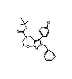 CC(C)(C)OC(=O)N1CCCc2nn(Cc3ccccc3)c(-c3ccc(Cl)cc3)c2C1